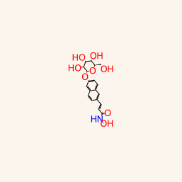 O=C(/C=C/c1ccc2cc(O[C@H]3O[C@H](CO)[C@@H](O)[C@H](O)[C@@H]3O)ccc2c1)NO